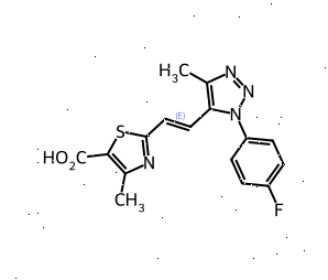 Cc1nc(/C=C/c2c(C)nnn2-c2ccc(F)cc2)sc1C(=O)O